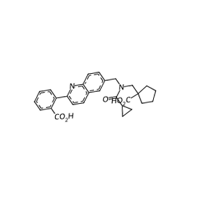 O=C(O)c1ccccc1-c1ccc2cc(CN(CC3(C(=O)O)CCCC3)C(=O)C3CC3)ccc2n1